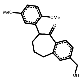 COc1ccc(OC)c(C2CCCc3cc(CO)ccc3C2=O)c1